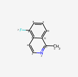 Cc1nccc2c(F)cccc12